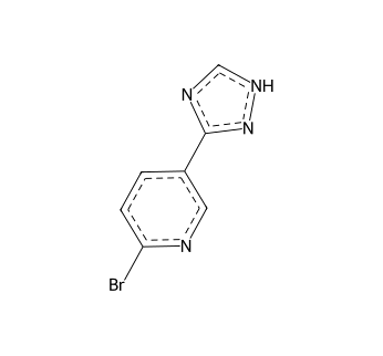 Brc1ccc(-c2nc[nH]n2)cn1